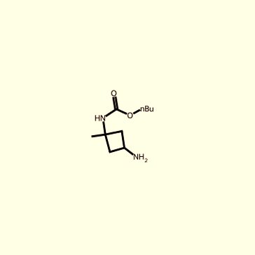 CCCCOC(=O)NC1(C)CC(N)C1